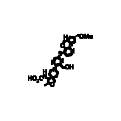 COC[C@H]1C[C@H]2COc3c(Sc4cnc(N5CCC6(CC5)CO[C@@H](C)[C@H]6NC(=O)O)c(CO)n4)ccnc3N2C1